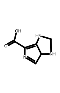 O=C(O)C1=C2NCNC2C=N1